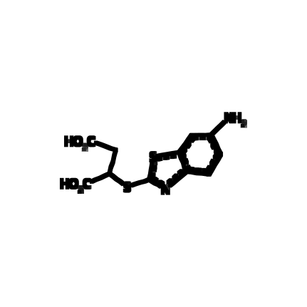 Nc1ccc2nc(SC(CC(=O)O)C(=O)O)sc2c1